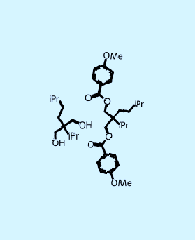 CC(C)CCC(CO)(CO)C(C)C.COc1ccc(C(=O)OCC(CCC(C)C)(COC(=O)c2ccc(OC)cc2)C(C)C)cc1